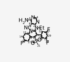 CCN(c1ncnc(N)c1C#N)c1nc2ccc(F)cc2c(S(C)(=O)=O)c1-c1cc(F)cc(F)c1